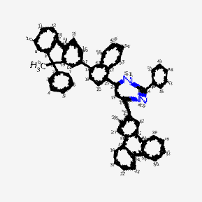 CC1(c2ccccc2)c2ccccc2-c2ccc(-c3ccc(-c4cc(-c5ccc6c7ccccc7c7ccccc7c6c5)nc(-c5ccccc5)n4)c4ccccc34)cc21